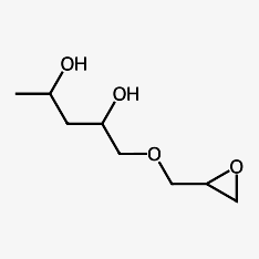 CC(O)CC(O)COCC1CO1